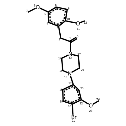 C=C(Cc1cc(OC)ccc1OC)N1CCN(c2ccc(Br)c(OC)c2)CC1